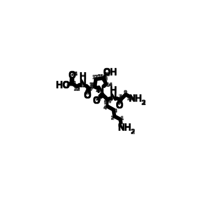 NCCCC[C@H](NC(=O)CN)C(=O)N1C[C@H](O)C[C@H]1C(=O)NCC(=O)O